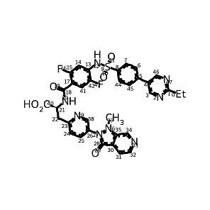 CCc1ncc(-c2ccc(S(=O)(=O)Nc3cc(F)c(C(=O)N[C@@H](Cc4ccc(-n5c(=O)c6ccncc6n5C)cn4)C(=O)O)cc3F)cc2)cn1